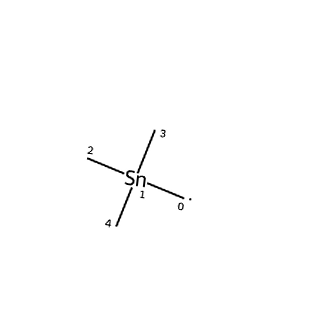 [CH2][Sn]([CH3])([CH3])[CH3]